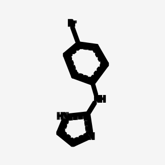 Brc1ccc(Nc2ncc[nH]2)cc1